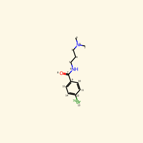 CN(C)CCCNC(=O)c1ccc([76Br])cc1